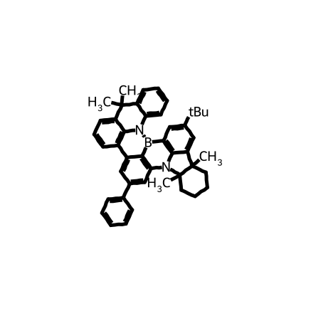 CC(C)(C)c1cc2c3c(c1)C1(C)CCCCC1(C)N3c1cc(-c3ccccc3)cc3c1B2N1c2ccccc2C(C)(C)c2cccc-3c21